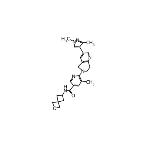 Cc1cc(C(=O)NC2CC3(COC3)C2)cnc1N1CCc2ncc(-c3cn(C)nc3C)cc2C1